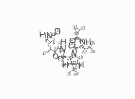 C=CC(=O)[C@H](C[C@@H]1CCNC1=O)NC(=O)[C@@H]1[C@@H]2[C@H](CN1C(=O)[C@H](CC(C)C)NC(=O)C1CC1)C2(C)C